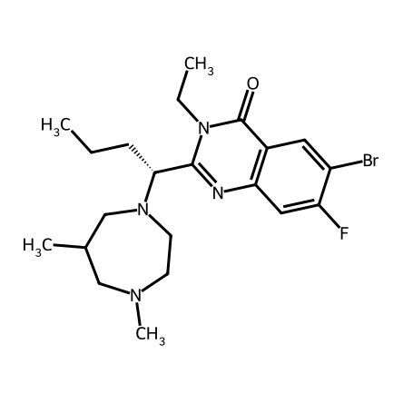 CCC[C@H](c1nc2cc(F)c(Br)cc2c(=O)n1CC)N1CCN(C)CC(C)C1